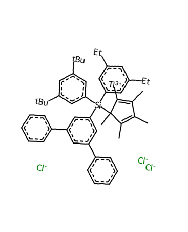 CCc1cc(CC)cc([Si](c2cc(-c3ccccc3)cc(-c3ccccc3)c2)(c2cc(C(C)(C)C)cc(C(C)(C)C)c2)C2(C)C(C)=C(C)C(C)=[C]2[Ti+3])c1.[Cl-].[Cl-].[Cl-]